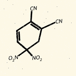 N#CC1=C(C#N)CC([N+](=O)[O-])([N+](=O)[O-])C=C1